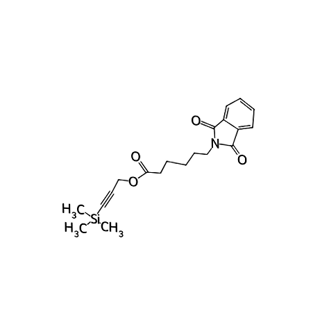 C[Si](C)(C)C#CCOC(=O)CCCCCN1C(=O)c2ccccc2C1=O